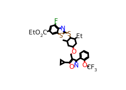 CCOC(=O)c1cc(F)c2nc(SC3C(C)CC(OCc4c(-c5ccccc5OC(F)(F)F)noc4C4CC4)CC3CC)sc2c1